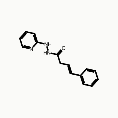 O=C(C/C=C/c1ccccc1)NNc1ccccn1